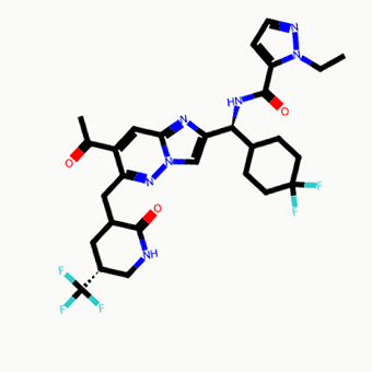 CCn1nccc1C(=O)N[C@H](c1cn2nc(CC3C[C@@H](C(F)(F)F)CNC3=O)c(C(C)=O)cc2n1)C1CCC(F)(F)CC1